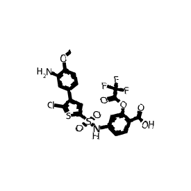 COc1ccc(-c2cc(S(=O)(=O)Nc3ccc(C(=O)O)c(OC(=O)C(F)(F)F)c3)sc2Cl)cc1N